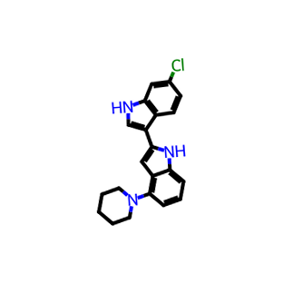 Clc1ccc2c(-c3cc4c(N5CCCCC5)cccc4[nH]3)c[nH]c2c1